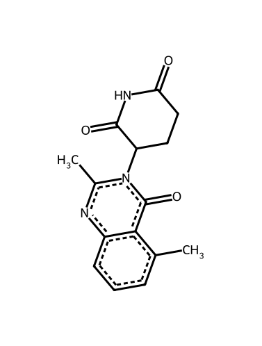 Cc1cccc2nc(C)n(C3CCC(=O)NC3=O)c(=O)c12